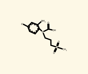 CS(=O)(=O)CCCN(C(=O)O)c1ccc(Cl)cc1N